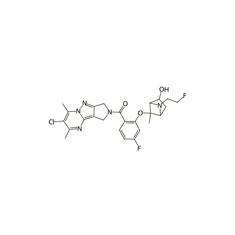 Cc1nc2c3c(nn2c(C)c1Cl)CN(C(=O)c1ccc(F)cc1OC1(C)C2CC(O)C1N2CCF)C3